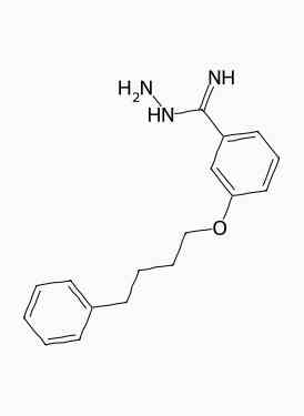 N=C(NN)c1cccc(OCCCCc2ccccc2)c1